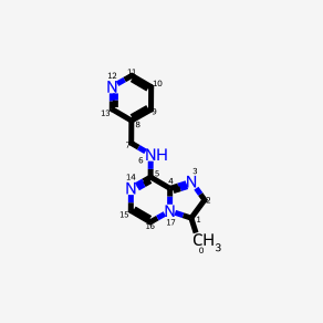 CC1CN=C2C(NCc3cccnc3)=NC=CN21